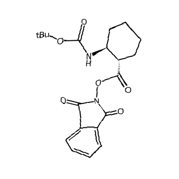 CC(C)(C)OC(=O)N[C@H]1CCCC[C@@H]1C(=O)ON1C(=O)c2ccccc2C1=O